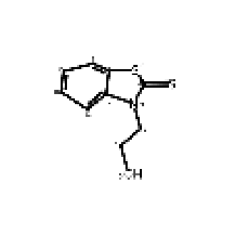 OCCn1c(=S)sc2ccccc21